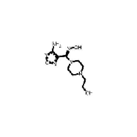 Nc1nonc1/C(=N/O)N1CCN(CCO)CC1